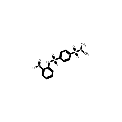 CN(C)S(=O)(=O)c1ccc(S(=O)(=O)Nc2ccccc2[N+](=O)[O-])cc1